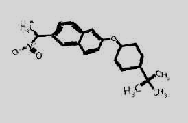 CC(c1ccc2cc(OC3CCC(C(C)(C)C)CC3)ccc2c1)[N+](=O)[O-]